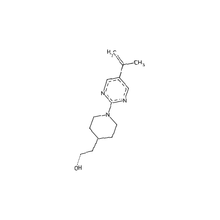 C=C(C)c1cnc(N2CCC(CCO)CC2)nc1